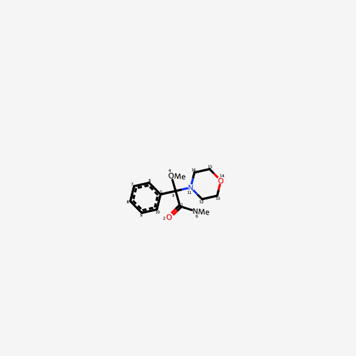 CNC(=O)C(OC)(c1ccccc1)N1CCOCC1